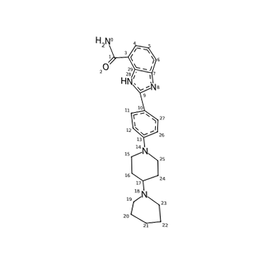 NC(=O)c1cccc2nc(-c3ccc(N4CCC(N5CCCCC5)CC4)cc3)[nH]c12